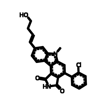 Cn1c2cc(C=CCCO)ccc2c2c3c(c(-c4ccccc4Cl)cc21)C(=O)NC3=O